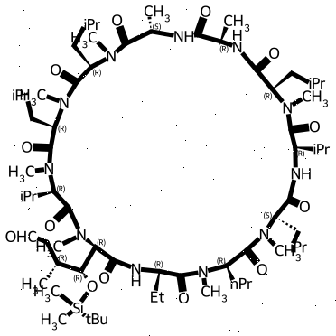 CCC[C@@H]1C(=O)N(C)[C@@H](CC(C)C)C(=O)N[C@H](C(C)C)C(=O)N(C)[C@H](CC(C)C)C(=O)N[C@H](C)C(=O)N[C@@H](C)C(=O)N(C)[C@H](CC(C)C)C(=O)N(C)[C@H](CC(C)C)C(=O)N(C)[C@H](C(C)C)C(=O)N(C)[C@H]([C@H](O[Si](C)(C)C(C)(C)C)[C@H](C)CC=O)C(=O)N[C@H](CC)C(=O)N1C